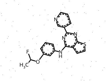 CC(F)Oc1cccc(Nc2nc(-c3cccnc3)nc3sccc23)c1